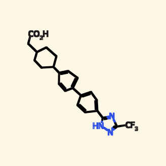 O=C(O)CC1CCC(c2ccc(-c3ccc(-c4nc(C(F)(F)F)n[nH]4)cc3)cc2)CC1